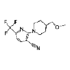 COCC1CCN(c2nc(C(F)(F)F)ccc2C#N)CC1